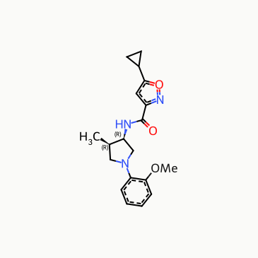 COc1ccccc1N1C[C@@H](C)[C@@H](NC(=O)c2cc(C3CC3)on2)C1